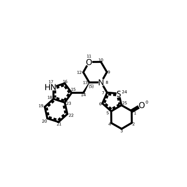 O=C1CCCc2cc(N3CCOC[C@@H]3Cc3c[nH]c4ccccc34)sc21